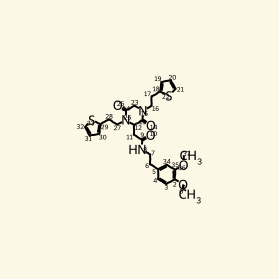 COc1ccc(CCNC(=O)CC2C(=O)N(CCc3cccs3)CC(=O)N2CCc2cccs2)cc1OC